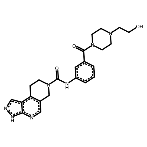 O=C(Nc1cccc(C(=O)N2CCN(CCO)CC2)c1)N1CCc2c(cnc3[nH]ncc23)C1